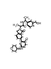 CC(NC(=O)C(C)N1Cc2ccc(-c3nc(NC4CCOCC4)ncc3Cl)cc2C1=O)c1ccnc(CO)c1